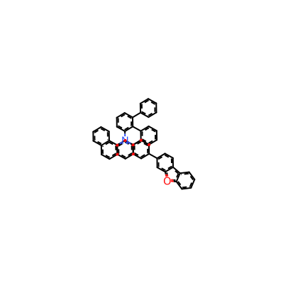 c1ccc(-c2ccccc2-c2c(-c3ccccc3)cccc2N(c2ccc(-c3ccc4c(c3)oc3ccccc34)cc2)c2cccc3ccccc23)cc1